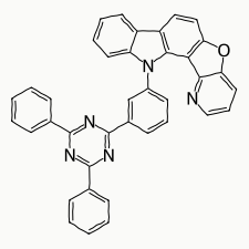 c1ccc(-c2nc(-c3ccccc3)nc(-c3cccc(-n4c5ccccc5c5ccc6oc7cccnc7c6c54)c3)n2)cc1